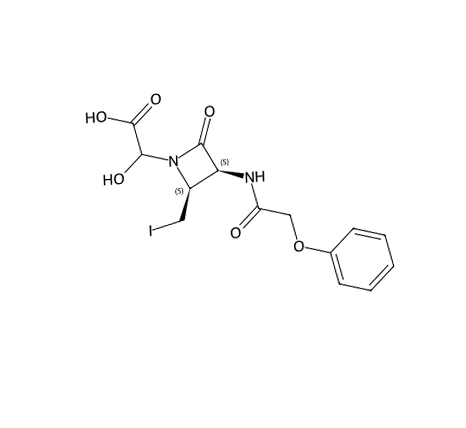 O=C(COc1ccccc1)N[C@@H]1C(=O)N(C(O)C(=O)O)[C@@H]1CI